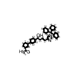 CNC(=O)c1cccc(-c2ccc(C(O)CC=Cc3cn(C(c4ccccc4)(c4ccccc4)c4ccccc4)cn3)cc2)c1